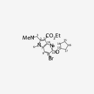 CCOC(=O)c1c(CNC)n(C)c2cc(Br)c(OC3CCCC3)nc12